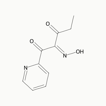 CCC(=O)C(=NO)C(=O)c1ccccn1